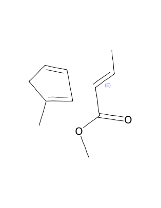 C/C=C/C(=O)OC.CC1=CC=CC1